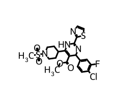 COC(=O)C1=C(C2CCN(S(C)(=O)=O)CC2)NC(c2nccs2)=NC1c1ccc(Cl)c(F)c1